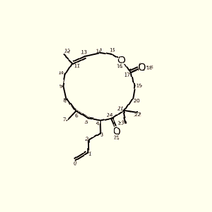 C=CCCC1CC(C)CCCC(C)=CCCOC(=O)CCC(C)(C)C1=O